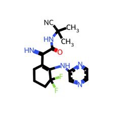 CC(C)(C#N)NC(=O)C(=N)C1=C(Nc2cnccn2)C(F)(F)CCC1